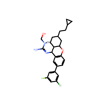 CN(CO)/C(N)=N\C1c2cc(-c3cc(F)cc(Cl)c3)ccc2OC2CC(CCC3CC3)CCC21